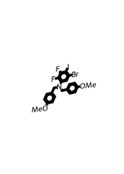 COc1ccc(CN(Cc2ccc(OC)cc2)c2cc(Br)c(I)c(F)c2F)cc1